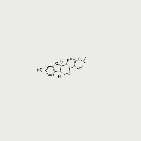 CC1(C)C=Cc2c(ccc3c2OC[C@H]2c4ccc(O)cc4O[C@@H]32)O1